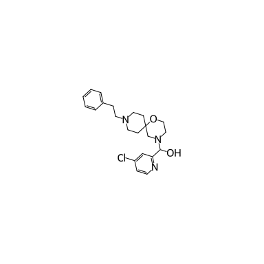 OC(c1cc(Cl)ccn1)N1CCOC2(CCN(CCc3ccccc3)CC2)C1